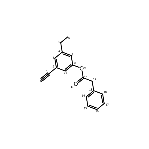 C#Cc1cc(CC)cc(OC(=O)Cc2ccccc2)c1